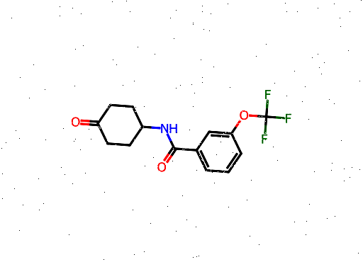 O=C1CCC(NC(=O)c2cccc(OC(F)(F)F)c2)CC1